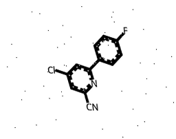 N#Cc1cc(Cl)cc(-c2ccc(F)cc2)n1